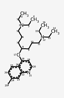 CCN(CC)CCCC(CCCN(CC)CC)Oc1ccnc2cc(I)ccc12